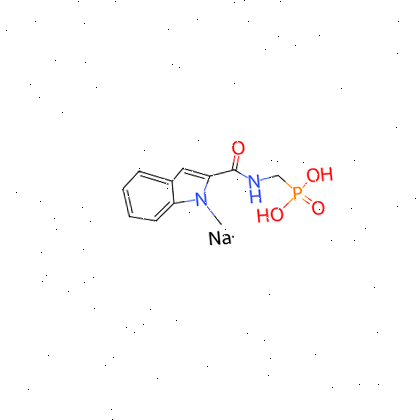 Cn1c(C(=O)NCP(=O)(O)O)cc2ccccc21.[Na]